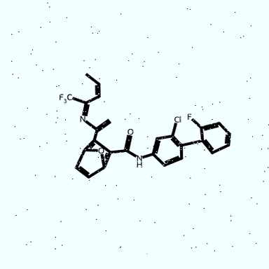 C=C(/N=C(\C=C/C)C(F)(F)F)c1c(C(=O)Nc2ccc(-c3ccccc3F)c(Cl)c2)c2ccc1o2